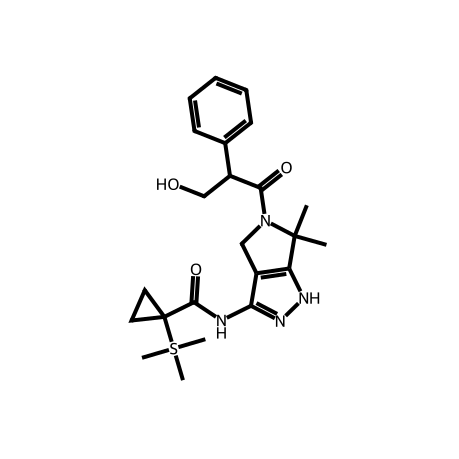 CC1(C)c2[nH]nc(NC(=O)C3(S(C)(C)C)CC3)c2CN1C(=O)C(CO)c1ccccc1